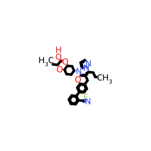 CCCc1c(Cc2ccc(-c3ccccc3C#N)c(F)c2)c(=O)n([C@H]2CC[C@H](OC(CC)C(=O)O)CC2)c2ccnn12